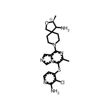 Cc1nc(N2CCC3(CC2)CO[C@@H](C)C3N)c2cncn2c1Sc1ccnc(N)c1Cl